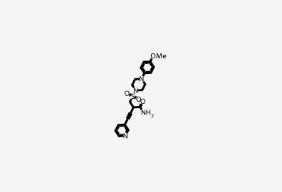 COc1ccc(N2CCN(S(=O)(=O)CC(C#Cc3cccnc3)C(N)=O)CC2)cc1